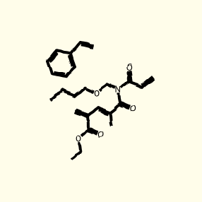 C=CC(=O)N(COCCCC)C(=O)C(C)=CC(=C)C(=O)OCC.C=Cc1ccccc1